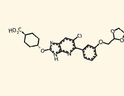 O=C(O)[C@H]1CC[C@H](Oc2nc3cc(Cl)c(-c4cccc(OCC5OCCO5)c4)nc3[nH]2)CC1